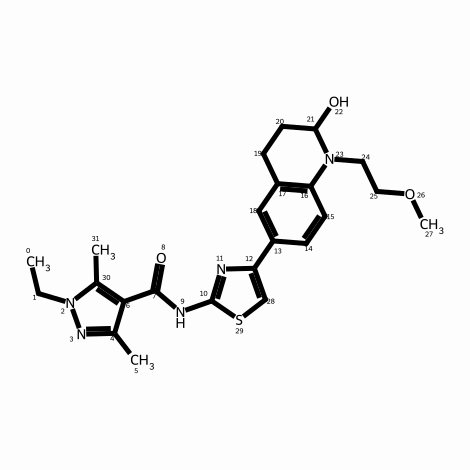 CCn1nc(C)c(C(=O)Nc2nc(-c3ccc4c(c3)CCC(O)N4CCOC)cs2)c1C